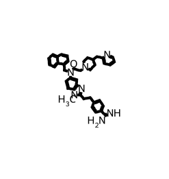 Cn1c(CCc2ccc(C(=N)N)cc2)nc2cc(N(Cc3cccc4ccccc34)C(=O)CN3CCC(Cc4ccccn4)CC3)ccc21